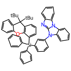 CC(C)(C)C1(C(C)(C)C)c2ccccc2Oc2c1cccc2[Si](c1ccccc1)(c1ccccc1)c1cccc(-n2c3ccccc3n3c4ccccc4nc23)c1